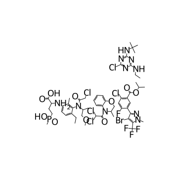 CC(C)OC(=O)c1cc(-c2nn(C)c(C(F)(F)F)c2Br)c(F)cc1Cl.CC1COc2ccccc2N1C(=O)C(Cl)Cl.CCNc1nc(Cl)nc(NC(C)(C)C)n1.CCc1cccc(C)c1N(C(=O)CCl)C(C)COC.CP(=O)(O)CCC(N)C(=O)O